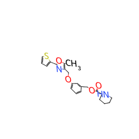 Cc1oc(-c2cccs2)nc1COc1cccc(COC(=O)C2CCCCN2)c1